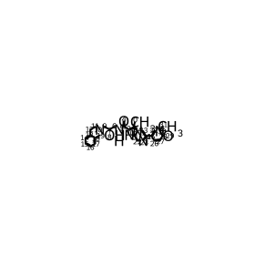 Cc1c(C(=O)NC[C@H](O)CN2CCc3ccccc3C2)nc2cnc(-c3ccc(=O)n(C)c3)cn12